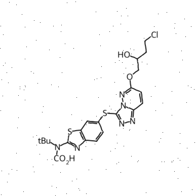 CC(C)(C)N(C(=O)O)c1nc2ccc(Sc3nnc4ccc(OCC(O)CCCl)nn34)cc2s1